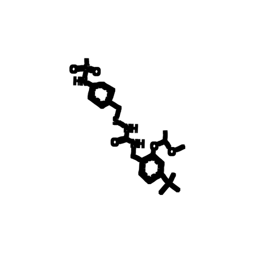 COC(C)Oc1cc(C(C)(C)C)ccc1CNC(=O)NSCc1ccc(NS(C)(=O)=O)cc1